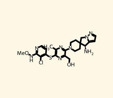 CONc1nccc(Sc2nc(CO)c(N3CCC4(CC3)Cn3nccc3[C@H]4N)nc2C)c1Cl